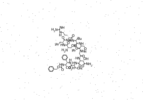 CC[C@H](C)C(NC(=O)[C@@H](CCCNC(=N)N)NC(=O)[C@H](CC(C)C)NC(=O)[C@@H](N)[C@H](O)C(C)C)C(=O)N[C@H](C(=O)NCC(=O)N[C@H](C(=O)N[C@@H](CO)C(=O)N[C@H](c1ccccc1)[C@H](NC(=O)OCc1ccccc1)C(=O)O)[C@H](O)C(N)=O)[C@H](C)O